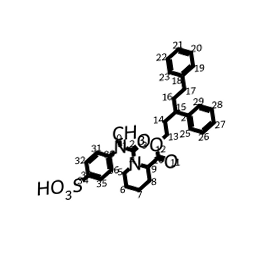 CN(C(=O)N1CCCCC1C(=O)OCCC(CCc1ccccc1)c1ccccc1)c1ccc(S(=O)(=O)O)cc1